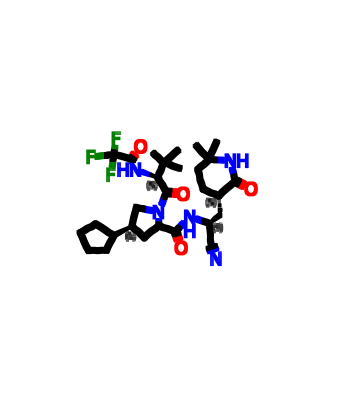 CC1(C)CC[C@@H](C[C@@H](C#N)NC(=O)C2C[C@@H](C3CCCC3)CN2C(=O)[C@@H](NC(=O)C(F)(F)F)C(C)(C)C)C(=O)N1